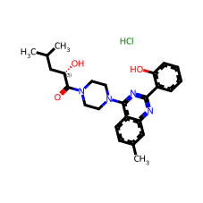 Cc1ccc2c(N3CCN(C(=O)[C@@H](O)CC(C)C)CC3)nc(-c3ccccc3O)nc2c1.Cl